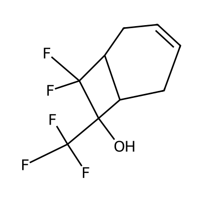 OC1(C(F)(F)F)C2CC=CCC2C1(F)F